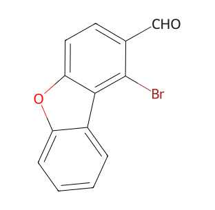 O=Cc1ccc2oc3ccccc3c2c1Br